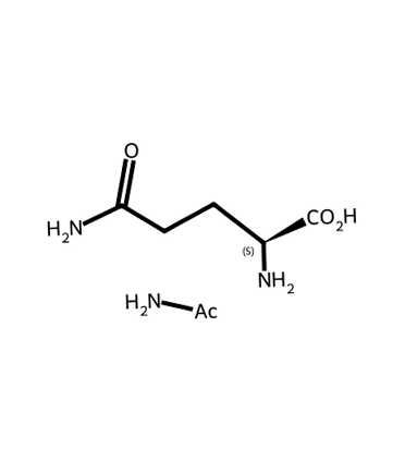 CC(N)=O.NC(=O)CC[C@H](N)C(=O)O